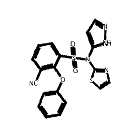 N#Cc1cccc(S(=O)(=O)N(c2ccn[nH]2)c2nccs2)c1Oc1ccccc1